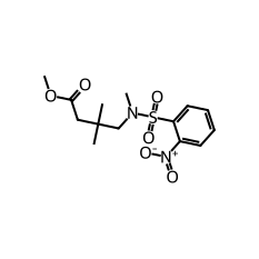 COC(=O)CC(C)(C)CN(C)S(=O)(=O)c1ccccc1[N+](=O)[O-]